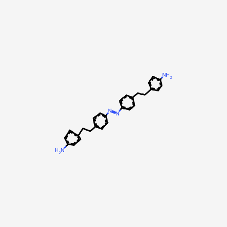 Nc1ccc(CCc2ccc(N=Nc3ccc(CCc4ccc(N)cc4)cc3)cc2)cc1